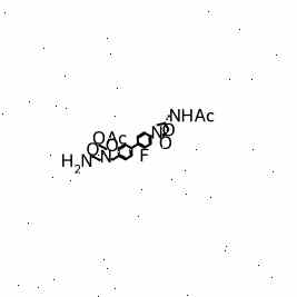 CC(=O)NC[C@H]1CN(c2ccc(-c3ccc(CN(CC(N)=O)C(=O)COC(C)=O)cc3)c(F)c2)C(=O)O1